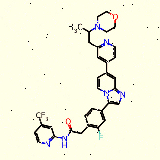 CC(Cc1cc(-c2ccn3c(-c4ccc(CC(=O)Nc5cc(C(F)(F)F)ccn5)c(F)c4)cnc3c2)ccn1)N1CCOCC1